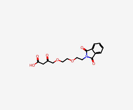 O=C(O)CC(=O)COCCOCCN1C(=O)c2ccccc2C1=O